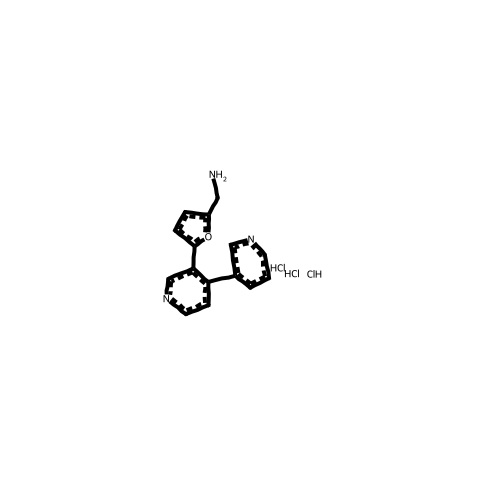 Cl.Cl.Cl.NCc1ccc(-c2cnccc2-c2cccnc2)o1